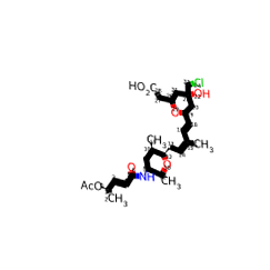 CC(=O)O[C@@H](C)C=CC(=O)N[C@@H]1C[C@H](C)[C@H](CC=C(C)C=CC2CC(O)(CCl)CC(CC(=O)O)O2)O[C@@H]1C